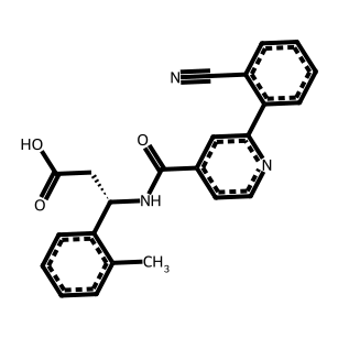 Cc1ccccc1[C@H](CC(=O)O)NC(=O)c1ccnc(-c2ccccc2C#N)c1